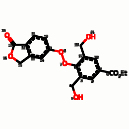 CCOC(=O)c1cc(CO)c(OOc2ccc3c(c2)COC3=O)c(CO)c1